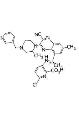 Cc1cc([C@@H](C)Nc2ccc(Cl)nc2C(=O)O)c2nc(N3CCN(Cc4cccnc4)CC3C)c(C#N)nc2c1